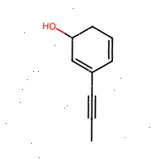 CC#CC1=CC(O)CC=C1